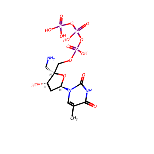 Cc1cn([C@H]2C[C@H](O)[C@@](CN)(COP(=O)(O)OP(=O)(O)OP(=O)(O)O)O2)c(=O)[nH]c1=O